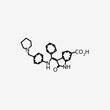 O=C1Nc2cc(C(=O)O)ccc2C1=C(Nc1ccc(CN2CCCCC2)cc1)c1ccccc1